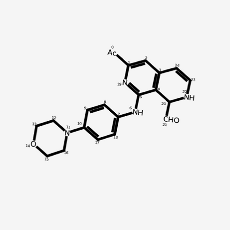 CC(=O)c1cc2c(c(Nc3ccc(N4CCOCC4)cc3)n1)C(C=O)NC=C2